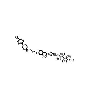 O=C(Cc1ccc(OCCCC2CC23CCN(c2ncc(Cl)cn2)CC3)cc1F)N1CC(CNCC(O)C(O)C(O)C(O)CO)C1